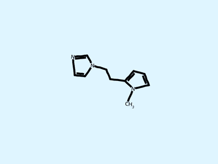 Cn1cccc1CCn1ccnc1